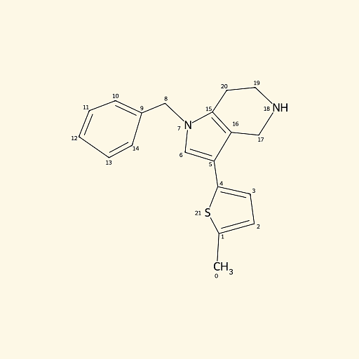 Cc1ccc(-c2cn(Cc3ccccc3)c3c2CNCC3)s1